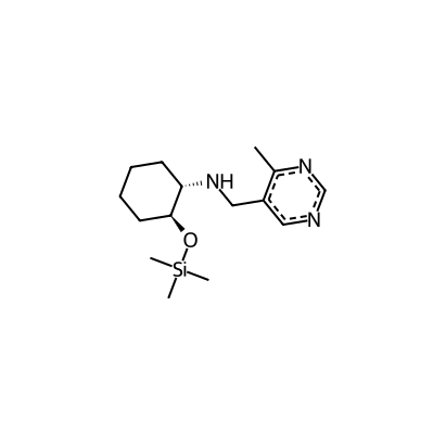 Cc1ncncc1CN[C@H]1CCCC[C@@H]1O[Si](C)(C)C